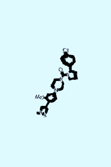 COc1cc(N2CCN(C(=O)N3CCCC3c3ccc(Cl)cc3)CC2)ccc1-c1cnn(C)c1